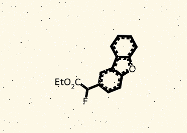 CCOC(=O)C(F)c1ccc2oc3ccccc3c2c1